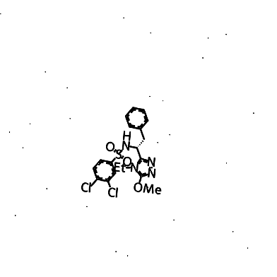 CCn1c(OC)nnc1[C@@H](Cc1ccccc1)NS(=O)(=O)c1ccc(Cl)c(Cl)c1